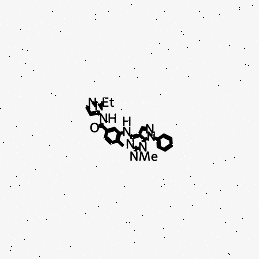 CCn1nccc1NC(=O)c1ccc(C)c(Nc2nc(NC)nc3c2cnn3-c2ccccc2)c1